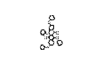 O=C1c2ccc(Sc3ccccc3)cc2C(=O)c2c1c(Oc1ccccc1)c1ccc(Sc3ccccc3)cc1c2Oc1ccccc1